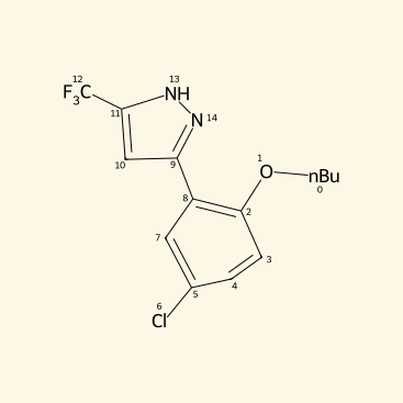 CCCCOc1ccc(Cl)cc1-c1cc(C(F)(F)F)[nH]n1